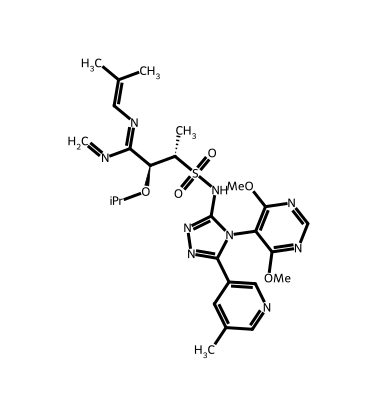 C=N/C(=N\C=C(C)C)[C@H](OC(C)C)[C@H](C)S(=O)(=O)Nc1nnc(-c2cncc(C)c2)n1-c1c(OC)ncnc1OC